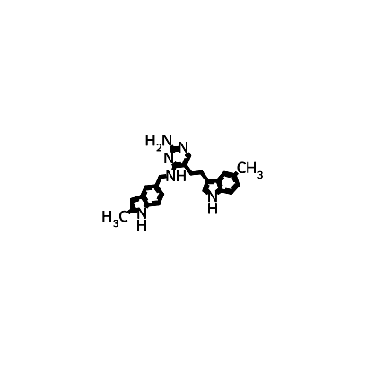 Cc1ccc2[nH]cc(CCc3cnc(N)nc3NCc3ccc4[nH]c(C)cc4c3)c2c1